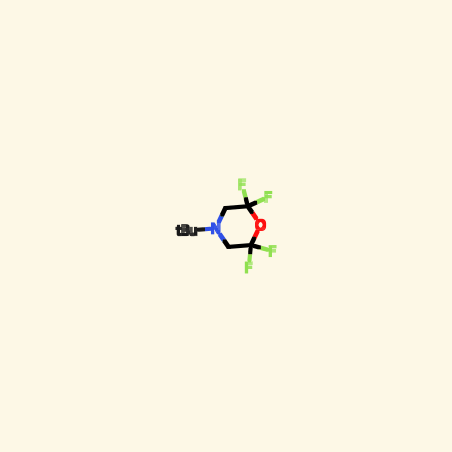 CC(C)(C)N1CC(F)(F)OC(F)(F)C1